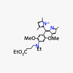 CCOC(=O)CCCN(CC)c1cc(OC)c(/C(=C2/N=C(C)C=C2C)c2c(C)cc(C)n2C)cc1OC